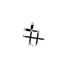 O=S1(=O)OC(F)(F)C1(F)C(F)(F)F